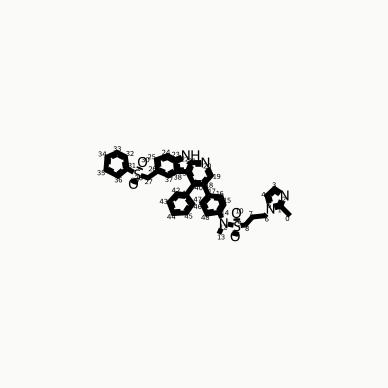 Cc1nccn1CCCS(=O)(=O)N(C)c1ccc(-c2cnc3[nH]c4ccc(CS(=O)(=O)c5ccccc5)cc4c3c2-c2ccccc2)cc1